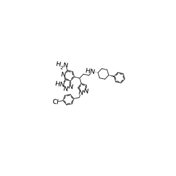 Nc1cc(C(CCN[C@H]2CC[C@H](c3ccccc3)CC2)c2cnn(Cc3ccc(Cl)cc3)c2)c2nn[nH]c2n1